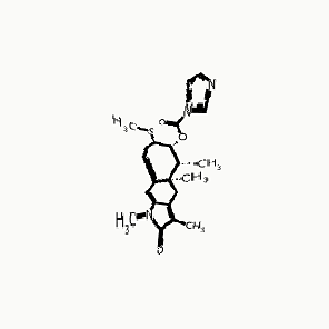 CS[C@@H]1C=C2C=C3C(=C(C)C(=O)N3C)C[C@]2(C)[C@@H](C)[C@H]1OC(=O)n1ccnc1